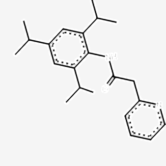 CC(C)c1cc(C(C)C)c(NC(=O)Cc2ccccn2)c(C(C)C)c1